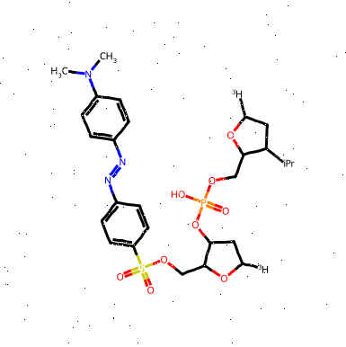 [3H]C1CC(OP(=O)(O)OCC2OC([3H])CC2C(C)C)C(COS(=O)(=O)c2ccc(N=Nc3ccc(N(C)C)cc3)cc2)O1